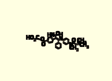 CN(C)CC(=O)N(C)c1ccc(N/C(=C2\C(=O)Nc3cc(C(=O)OCC(=O)O)ccc32)c2ccccc2)cc1